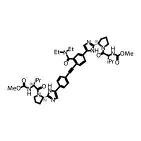 CCN(CC)C(=O)c1cc(-c2cnc([C@@H]3CCCN3C(=O)[C@@H](NC(=O)OC)C(C)C)[nH]2)ccc1C#Cc1ccc(-c2cnc([C@@H]3CCCN3C(=O)[C@@H](NC(=O)OC)C(C)C)[nH]2)cc1